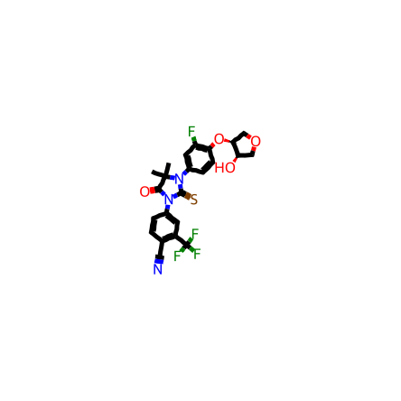 CC1(C)C(=O)N(c2ccc(C#N)c(C(F)(F)F)c2)C(=S)N1c1ccc(O[C@H]2COC[C@H]2O)c(F)c1